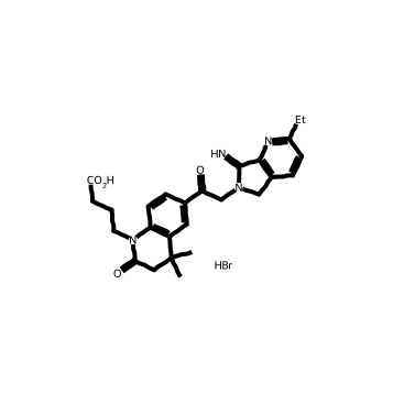 Br.CCc1ccc2c(n1)C(=N)N(CC(=O)c1ccc3c(c1)C(C)(C)CC(=O)N3CCCC(=O)O)C2